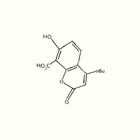 CCCCc1cc(=O)oc2c(C(=O)O)c(O)ccc12